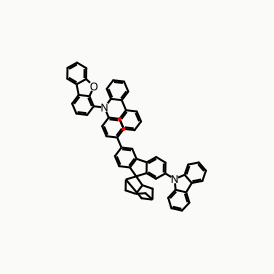 c1ccc(-c2ccccc2N(c2ccc(-c3ccc4c(c3)-c3ccc(-n5c6ccccc6c6ccccc65)cc3C43C4CC5CC(C4)C3C5)cc2)c2cccc3c2oc2ccccc23)cc1